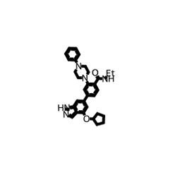 CCNC(=O)c1ccc(-c2cc(OC3CCCC3)c3cn[nH]c3c2)cc1N1CCN(c2ccccc2)CC1